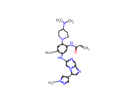 C=CC(=O)Nc1cc(Nc2cn3c(-c4cnn(C)c4)cnc3cn2)c(OC)cc1N1CCC(N(C)C)CC1